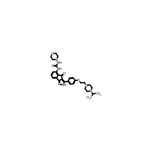 CC(C)N1CCN(CCOc2ccc(-c3[nH]nc4c3C(=O)c3c(NC(=O)NN5CCOCC5)cccc3-4)cc2)CC1